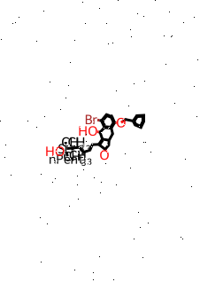 CCCCCC(CCC1=C2C(CC1=O)Cc1c(OCc3ccccc3)ccc(Br)c1C2O)CC(C)(C)[Si](C)(C)O